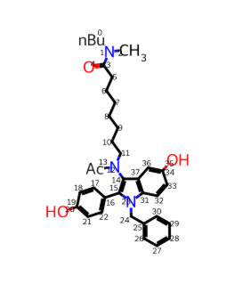 CCCCN(C)C(=O)CCCCCCCN(C(C)=O)c1c(-c2ccc(O)cc2)n(Cc2ccccc2)c2ccc(O)cc12